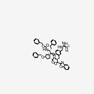 N=C(N)NCc1cccc(C[C@H](NC(=O)[C@@H]2C[C@@H](OCc3ccccc3)CN2C(=O)[C@@H](CCc2ccccc2)NC(=O)OCc2ccccc2)C(=O)c2nc3ccccc3o2)c1